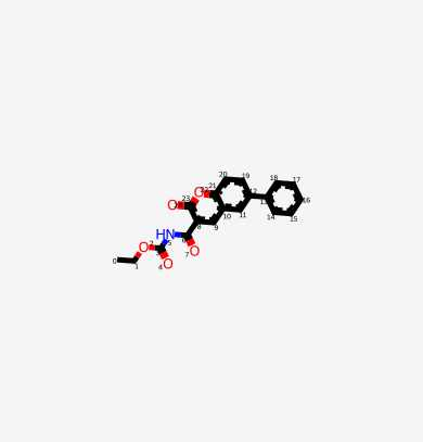 CCOC(=O)NC(=O)c1cc2cc(-c3ccccc3)ccc2oc1=O